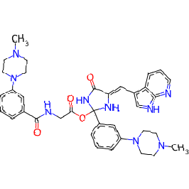 CN1CCN(c2cccc(C(=O)NCC(=O)OC3(c4cccc(N5CCN(C)CC5)c4)NC(=O)C(=Cc4c[nH]c5ncccc45)N3)c2)CC1